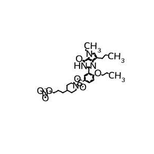 CCCOc1ccc(S(=O)(=O)N2CCC(CCCO[N+](=O)[O-])CC2)cc1-c1nc2c(CCC)cn(CC)c2c(=O)[nH]1